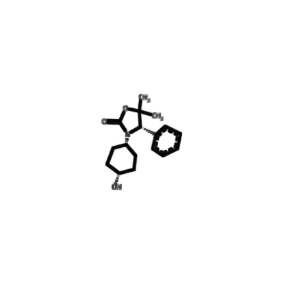 CC1(C)OC(=O)N([C@H]2CC[C@@H](O)CC2)[C@H]1c1ccccc1